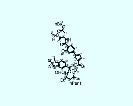 CBOC(=O)[C@H](CC(=O)OCCCC)NC(=O)c1ccc(-c2ccc(C(=O)NCNC(=O)[C@H](CCCCC)[C@@H](CC)N(C=O)OC(=O)c3ccc(N(C)S(C)(=O)=O)cc3)o2)cc1OCC